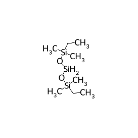 CC[Si](C)(C)O[SiH2]O[Si](C)(C)CC